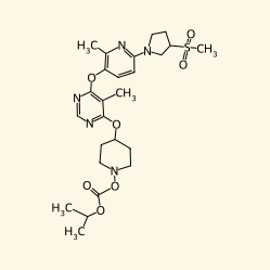 Cc1nc(N2CCC(S(C)(=O)=O)C2)ccc1Oc1ncnc(OC2CCN(OC(=O)OC(C)C)CC2)c1C